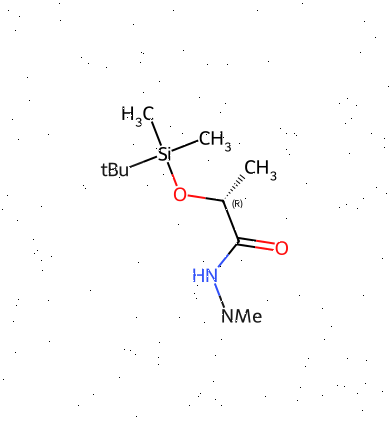 CNNC(=O)[C@@H](C)O[Si](C)(C)C(C)(C)C